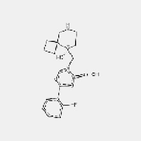 Cl.O=c1cc(-c2ccccc2F)ncn1C[C@]1(O)CCNCC12CCC2